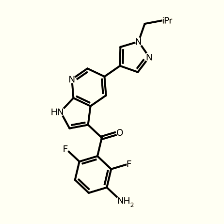 CC(C)Cn1cc(-c2cnc3[nH]cc(C(=O)c4c(F)ccc(N)c4F)c3c2)cn1